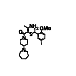 C=C(S/C(C(=O)N1CCC(N2CCCCCC2)CC1)=C(/C)N)c1cc(C)ccc1OC